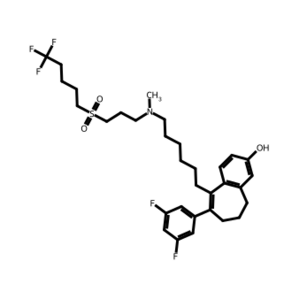 CN(CCCCCCC1=C(c2cc(F)cc(F)c2)CCCc2cc(O)ccc21)CCCS(=O)(=O)CCCCC(F)(F)F